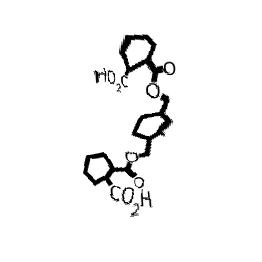 O=C(O)C1CCCCC1C(=O)OCC1CCC(COC(=O)C2CCCCC2C(=O)O)CC1